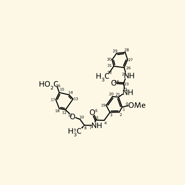 COc1cc(CC(=O)N[C@@H](C)COc2ccc(C(=O)O)cc2)ccc1NC(=O)Nc1ccccc1C